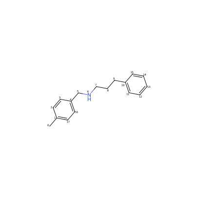 Cc1ccc(CNCCCc2ccccc2)cc1